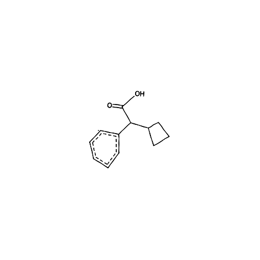 O=C(O)C(c1[c]cccc1)C1CCC1